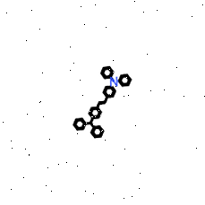 C(=C\c1ccc(N(c2ccccc2)c2ccccc2)cc1)/c1ccc(C(c2ccccc2)c2ccccc2)cc1